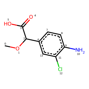 COC(C(=O)O)c1ccc(N)c(Cl)c1